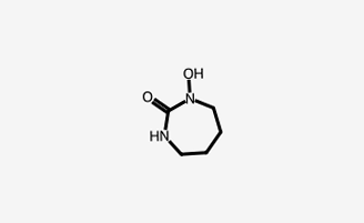 O=C1NCCCCN1O